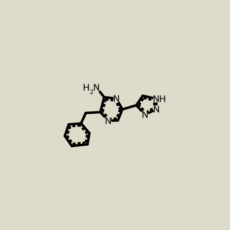 Nc1nc(-c2c[nH]nn2)cnc1Cc1ccccc1